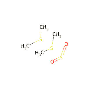 CSC.CSC.O=S=O